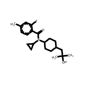 Cc1ccc(C(=O)N(C2CCC(CC(C)(C)O)CC2)C2CC2)c(F)c1